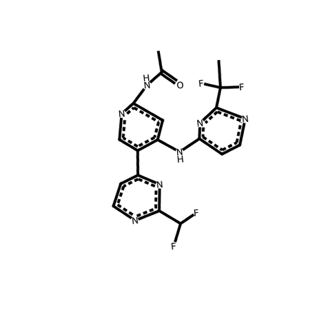 CC(=O)Nc1cc(Nc2ccnc(C(C)(F)F)n2)c(-c2ccnc(C(F)F)n2)cn1